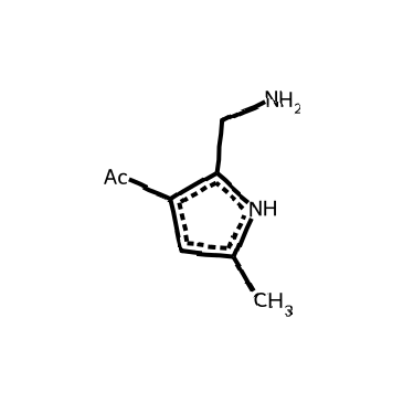 CC(=O)c1cc(C)[nH]c1CN